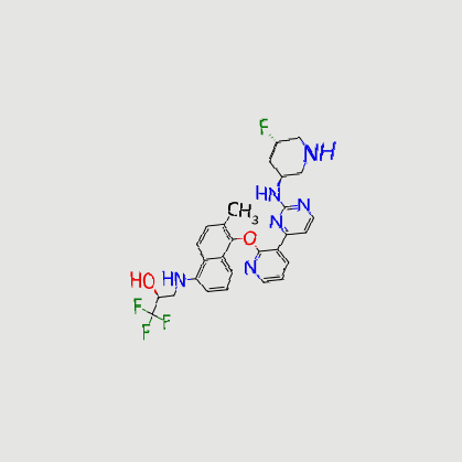 Cc1ccc2c(NC[C@H](O)C(F)(F)F)cccc2c1Oc1ncccc1-c1ccnc(N[C@@H]2CNC[C@@H](F)C2)n1